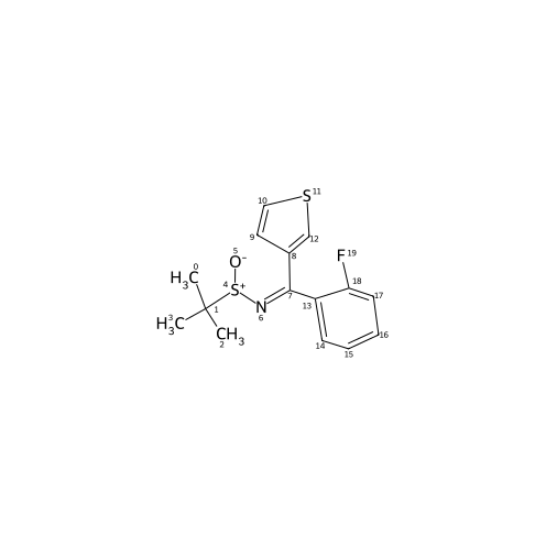 CC(C)(C)[S+]([O-])N=C(c1ccsc1)c1ccccc1F